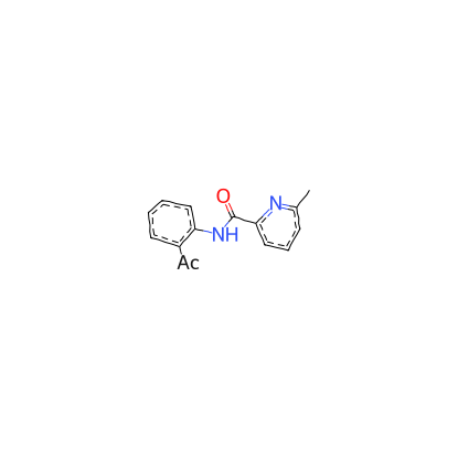 CC(=O)c1ccccc1NC(=O)c1cccc(C)n1